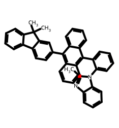 Cc1nc2ccccc2n1-c1ccccc1-c1c2ccccc2c(-c2ccc3c(c2)C(C)(C)c2ccccc2-3)c2ccccc12